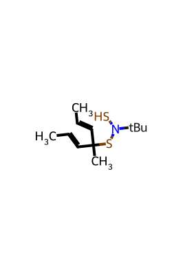 CC=CC(C)(C=CC)SN(S)C(C)(C)C